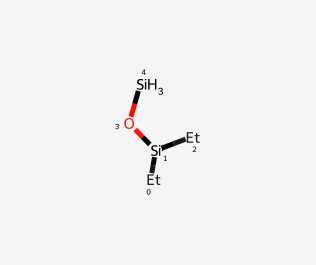 CC[Si](CC)O[SiH3]